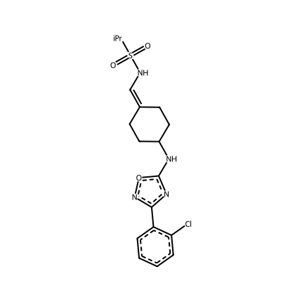 CC(C)S(=O)(=O)NC=C1CCC(Nc2nc(-c3ccccc3Cl)no2)CC1